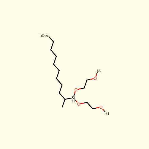 CCCCCCCCCCCCCCCCCCC(C)[SiH](OCCOCC)OCCOCC